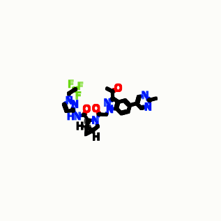 CC(=O)c1nn(CC(=O)N2C[C@H]3C[C@H]3[C@H]2C(=O)Nc2ccn(CC(F)(F)F)n2)c2ccc(-c3cnc(C)nc3)cc12